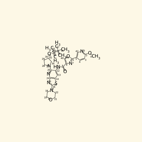 COc1ccc(-c2nc(C(=O)Nc3cc4sc(N5CCOCC5)nc4nc3N3CC[C@H](O[Si](C)(C)C(C)(C)C)C3)co2)cn1